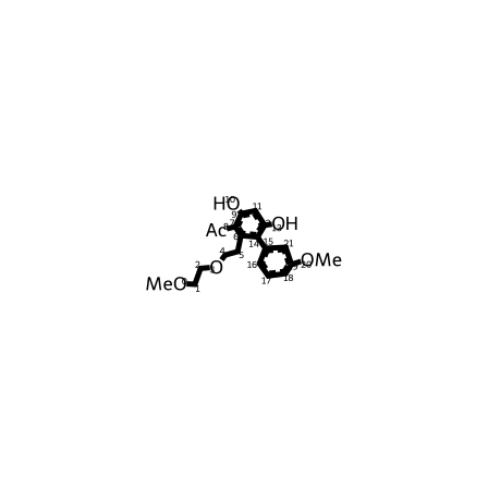 COCCOCCc1c(C(C)=O)c(O)cc(O)c1-c1cccc(OC)c1